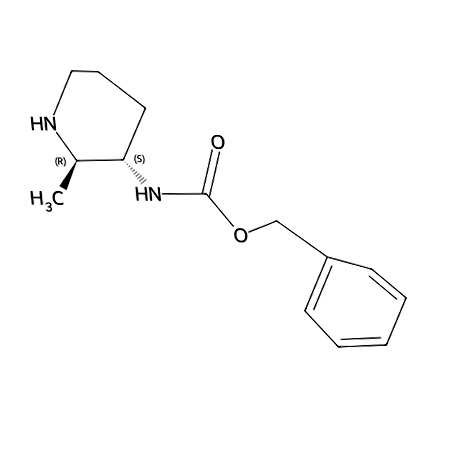 C[C@H]1NCCC[C@@H]1NC(=O)OCc1ccccc1